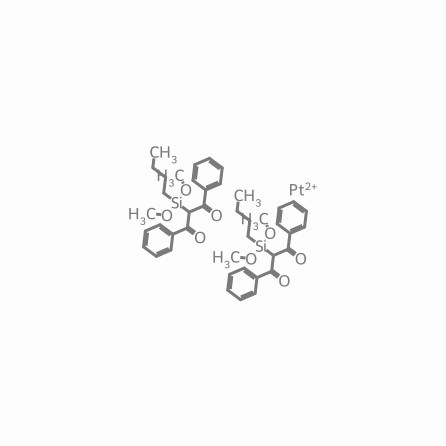 CCCC[Si](OC)(OC)C(C(=O)c1ccccc1)C(=O)c1ccccc1.CCCC[Si](OC)(OC)C(C(=O)c1ccccc1)C(=O)c1ccccc1.[Pt+2]